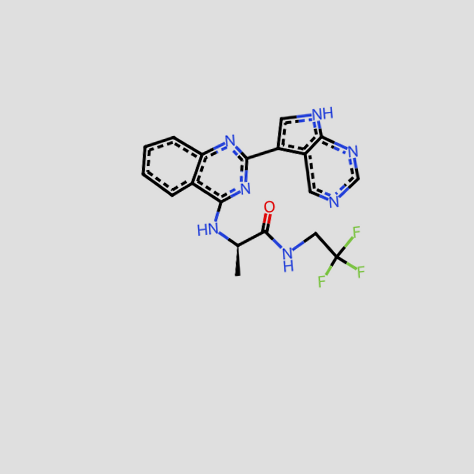 C[C@@H](Nc1nc(-c2c[nH]c3ncncc23)nc2ccccc12)C(=O)NCC(F)(F)F